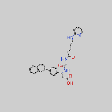 O=C(O)CC(NC(=O)CNC(=O)CCCCNc1ccccn1)c1ccc(-c2ccc3ccccc3c2)cc1